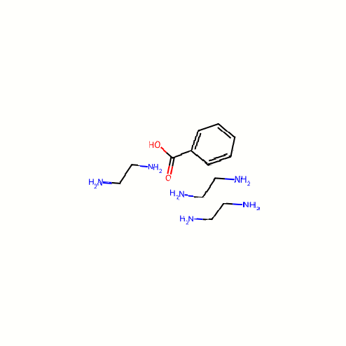 NCCN.NCCN.NCCN.O=C(O)c1ccccc1